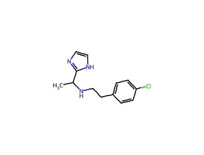 CC(NCCc1ccc(Cl)cc1)c1ncc[nH]1